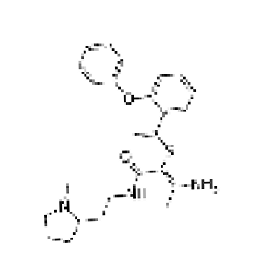 C=C(S/C(C(=O)NCCC1CCCN1C)=C(/C)N)c1ccccc1Oc1ccccc1